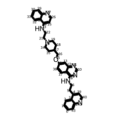 c1ccc2c(CCNc3ncnc4cc(OCC5CCN(CCNc6ccnc7ccccc67)CC5)ccc34)ccnc2c1